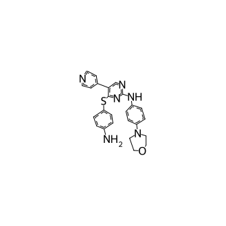 Nc1ccc(Sc2nc(Nc3ccc(N4CCOCC4)cc3)ncc2-c2ccncc2)cc1